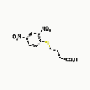 O=C(O)CCCSc1ccc([N+](=O)[O-])cc1[N+](=O)[O-]